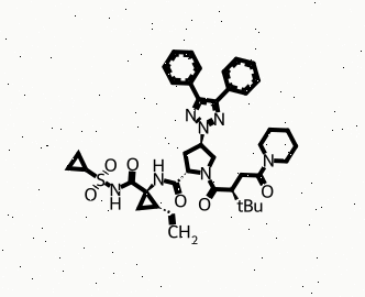 C=C[C@@H]1C[C@]1(NC(=O)[C@@H]1C[C@@H](n2nc(-c3ccccc3)c(-c3ccccc3)n2)CN1C(=O)[C@@H](CC(=O)N1CCCCC1)C(C)(C)C)C(=O)NS(=O)(=O)C1CC1